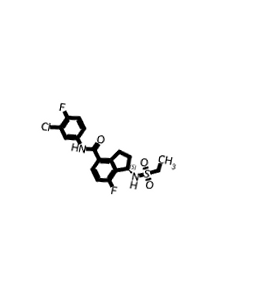 CCS(=O)(=O)N[C@H]1CCc2c(C(=O)Nc3ccc(F)c(Cl)c3)ccc(F)c21